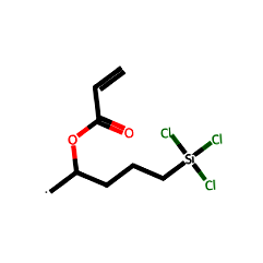 [CH2]C(CCC[Si](Cl)(Cl)Cl)OC(=O)C=C